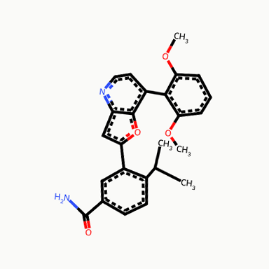 COc1cccc(OC)c1-c1ccnc2cc(-c3cc(C(N)=O)ccc3C(C)C)oc12